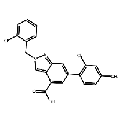 Cc1ccc(-c2cc(C(=O)O)c3cn(Cc4ccccc4Cl)nc3c2)c(Cl)c1